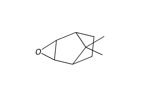 CC1(C)C2CCC1C1OC12